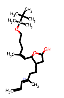 C=C/C=C(\C)CCC1CC(O)OC1C=C(C)CCCO[Si](C)(C)C(C)(C)C